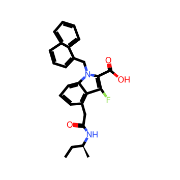 CC[C@H](C)NC(=O)Cc1cccc2c1c(F)c(C(=O)O)n2Cc1cccc2ccccc12